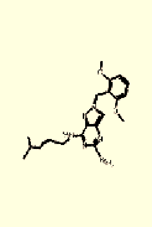 COc1cccc(OC)c1Cn1cc2nc(N)nc(NCCCC(C)C)c2n1